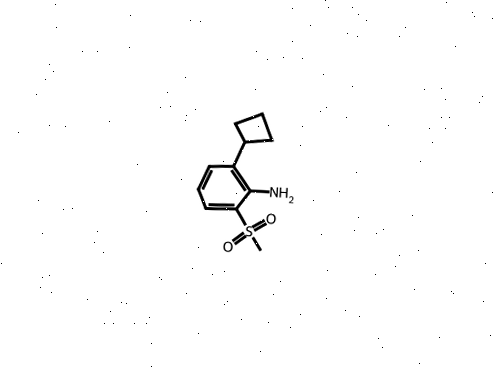 CS(=O)(=O)c1cccc(C2CCC2)c1N